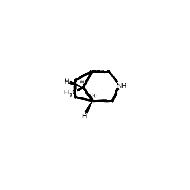 C[C@@H]1C2CC[C@H]1CNC2